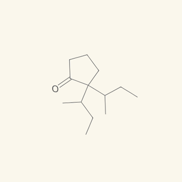 CCC(C)C1(C(C)CC)CCCC1=O